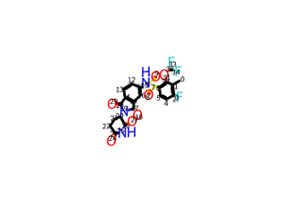 Cc1c(F)ccc(S(=O)(=O)Nc2ccc3c(c2)C(=O)N(C2CCC(=O)NC2=O)C3=O)c1OC(F)F